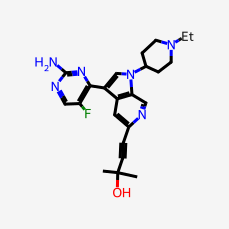 CCN1CCC(n2cc(-c3nc(N)ncc3F)c3cc(C#CC(C)(C)O)ncc32)CC1